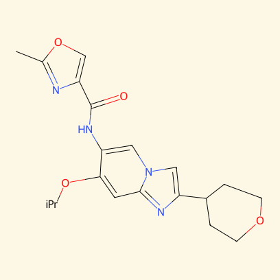 Cc1nc(C(=O)Nc2cn3cc(C4CCOCC4)nc3cc2OC(C)C)co1